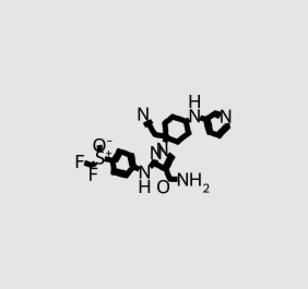 N#CCC1(n2cc(C(N)=O)c(Nc3ccc([S+]([O-])C(F)F)cc3)n2)CCC(Nc2cccnc2)CC1